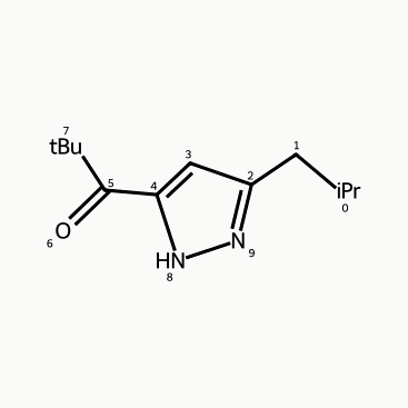 CC(C)Cc1cc(C(=O)C(C)(C)C)[nH]n1